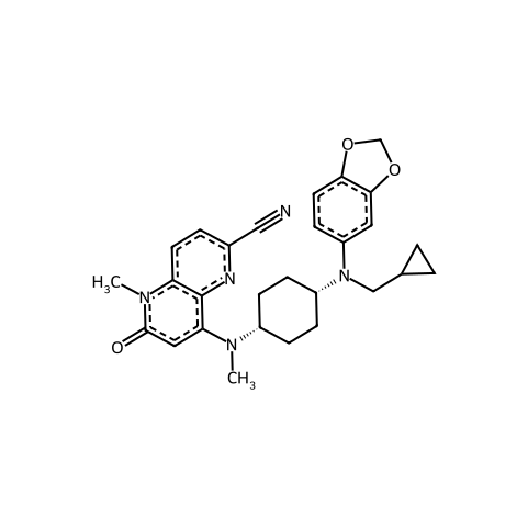 Cn1c(=O)cc(N(C)[C@H]2CC[C@@H](N(CC3CC3)c3ccc4c(c3)OCO4)CC2)c2nc(C#N)ccc21